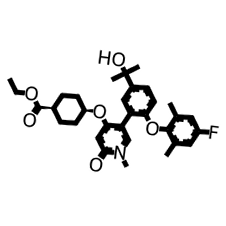 CCOC(=O)[C@H]1CC[C@@H](Oc2cc(=O)n(C)cc2-c2cc(C(C)(C)O)ccc2Oc2c(C)cc(F)cc2C)CC1